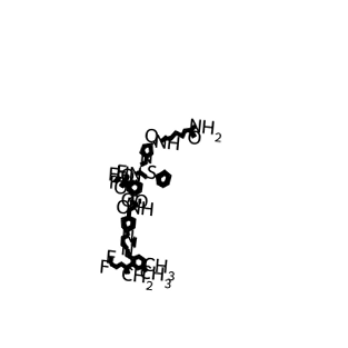 C=C(CCC(F)F)C1=C(CN2CCN(c3ccc(C(=O)NS(=O)(=O)c4ccc(N[C@H](CCN5CC[C@H](C(=O)NCCCCCC(N)=O)C5)CSc5ccccc5)c(S(=O)(=O)C(F)(F)F)c4)cc3)CC2)CCC(C)(C)C1